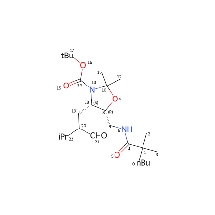 CCCCC(C)(C)C(=O)NC[C@H]1OC(C)(C)N(C(=O)OC(C)(C)C)[C@H]1CC(C=O)C(C)C